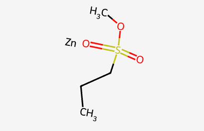 CCCS(=O)(=O)OC.[Zn]